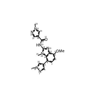 COc1ccc(-c2cnn(C)c2)c2c1nc(NC(=O)c1cnn(C)c1)n2C